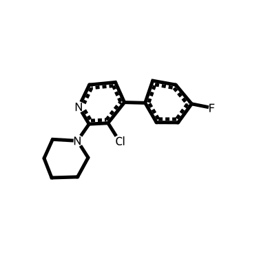 Fc1ccc(-c2ccnc(N3CCCCC3)c2Cl)cc1